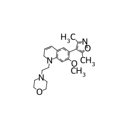 COc1cc2c(cc1-c1c(C)noc1C)C=CCN2CCN1CCOCC1